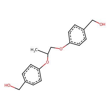 CC(COc1ccc(CO)cc1)Oc1ccc(CO)cc1